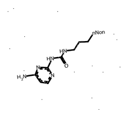 CCCCCCCCCCCCNC(=O)Nc1nccc(N)n1